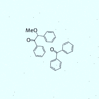 COC(C(=O)c1ccccc1)c1ccccc1.O=C(c1ccccc1)c1ccccc1